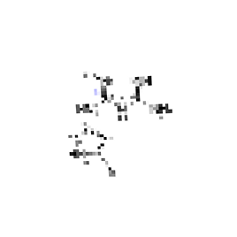 C/N=C(/NC(=N)N)Nc1c[nH]c(C)c1